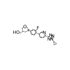 OCC1COC[C@H](c2ccc(-c3ccc(-c4nnn(C5CC5)n4)nc3)c(F)c2)C1